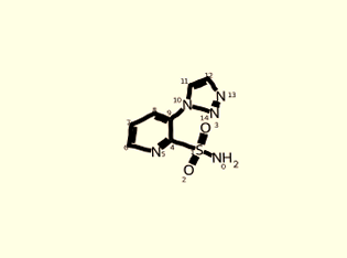 NS(=O)(=O)c1ncccc1-n1ccnn1